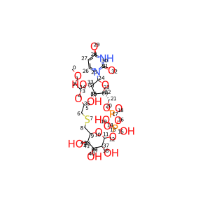 COCCOCCSCC1OC(OP(=O)(O)OP(=O)(O)OC[C@H]2OC(n3ccc(=O)[nH]c3=O)[C@@H](O)[C@H]2O)C(O)[C@@H](O)[C@H]1O